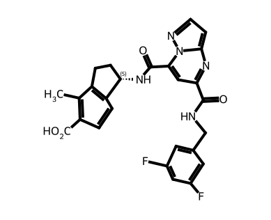 Cc1c(C(=O)O)ccc2c1CC[C@@H]2NC(=O)c1cc(C(=O)NCc2cc(F)cc(F)c2)nc2ccnn12